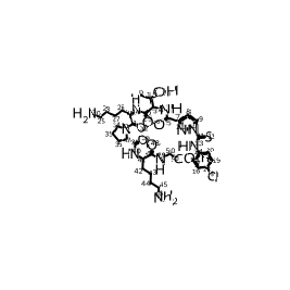 CC(O)C(NC(=O)c1ccn(C(=S)Nc2ccc(Cl)cc2)n1)C(=O)NC(CCCCN)C(=O)N1CCC[C@H]1C(=O)NC(CCCCN)C(=O)NCC(=O)O